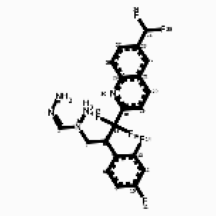 N/N=C\N(N)CC(c1ccc(F)cc1F)C(F)(F)c1ccc2cc(C(F)F)ccc2n1